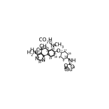 CN(CC(=O)O)c1c(OC2CCC(NC(=O)OC(C)(C)C)CC2)ccc2c1CC(C)(C)c1c(N)ncnc1-2